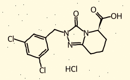 Cl.O=C(O)[C@H]1CCCc2nn(Cc3cc(Cl)cc(Cl)c3)c(=O)n21